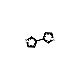 [c]1cc(-c2ccsc2)cs1